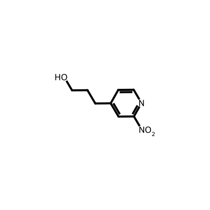 O=[N+]([O-])c1cc(CCCO)ccn1